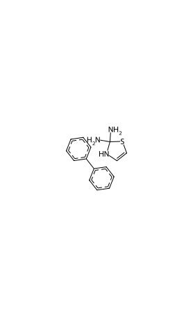 NC1(N)NC=CS1.c1ccc(-c2ccccc2)cc1